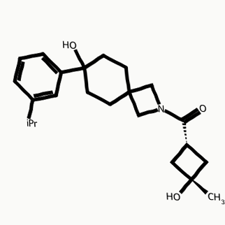 CC(C)c1cccc(C2(O)CCC3(CC2)CN(C(=O)[C@H]2C[C@@](C)(O)C2)C3)c1